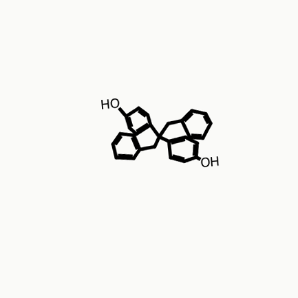 Oc1ccc(C(Cc2ccccc2)(Cc2ccccc2)c2ccc(O)cc2)cc1